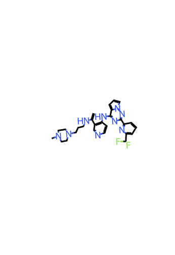 C=C(NCCCN1CCN(C)CC1)c1cnccc1Nc1nc(-c2cccc(C(F)F)n2)nn2cccc12